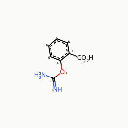 N=C(N)Oc1ccccc1C(=O)O